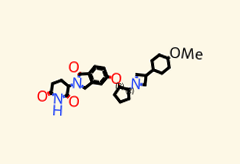 COC1CCC(C2CN([C@@H]3CCC[C@H]3Oc3ccc4c(c3)CN(C3CCC(=O)NC3=O)C4=O)C2)CC1